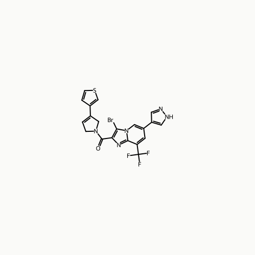 O=C(c1nc2c(C(F)(F)F)cc(-c3cn[nH]c3)cn2c1Br)N1CC=C(c2ccsc2)C1